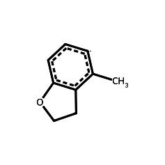 Cc1[c]ccc2c1CCO2